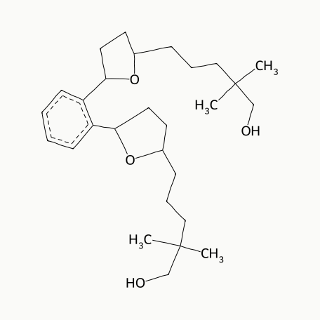 CC(C)(CO)CCCC1CCC(c2ccccc2C2CCC(CCCC(C)(C)CO)O2)O1